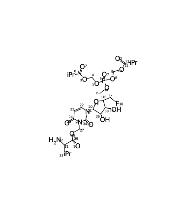 CC(C)C(=O)OCOP(=O)(OCOC(=O)C(C)C)OC[C@@]1(CF)O[C@@H](n2ccc(=O)n(COC(=O)C(N)C(C)C)c2=O)[C@H](O)[C@@H]1O